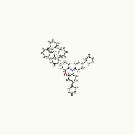 c1ccc(-c2ccc(N3c4ccc(-c5ccccc5)cc4Oc4cc(-c5ccc6c(c5)C5(c7ccccc7-c7ccccc75)c5ccccc5-6)ccc43)cc2)cc1